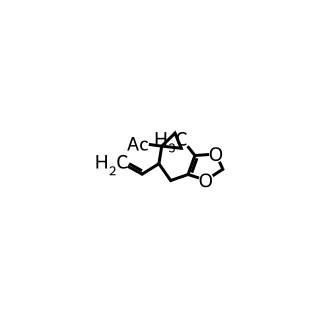 C=CC(CC1=C(C)OCO1)C1(C(C)=O)CC1